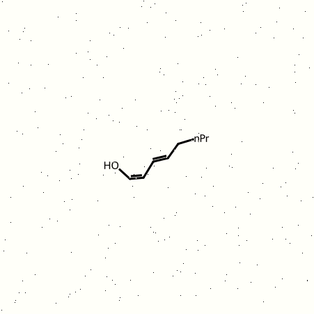 CCCCC=C/C=C\O